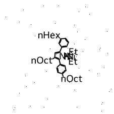 CCCCCCCCC1=C(c2ccc(CCCCCCCC)cc2)[N+](=[N-])C(c2cccc(CCCCCC)c2)=C1.C[CH2][Ni][CH2]C